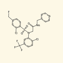 O=C(CN(c1cc(C(F)(F)F)ccc1Cl)S(=O)(=O)c1ccc(CF)cc1Cl)NCc1ccncc1